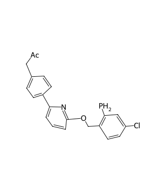 CC(=O)Cc1ccc(-c2cccc(OCc3ccc(Cl)cc3P)n2)cc1